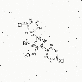 O=Cc1c(-c2ccc(Cl)cc2)nn(-c2cccc(Cl)c2)c1Br